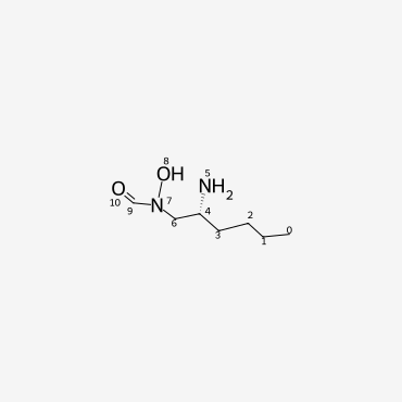 CCCC[C@@H](N)CN(O)C=O